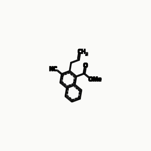 C=CCc1c(C#N)cc2ccccc2c1C(=O)OC